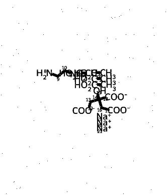 CC(=O)O.CC(=O)O.CC(=O)O.CC(=O)O.NCCN.O=C([O-])CC(O)(CC(=O)[O-])C(=O)[O-].[Na+].[Na+].[Na+]